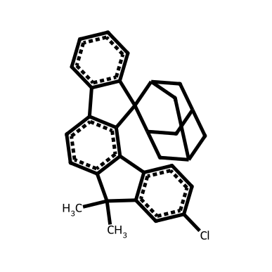 CC1(C)c2cc(Cl)ccc2-c2c1ccc1c2C2(c3ccccc3-1)C1CC3CC(C1)CC2C3